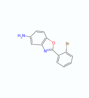 Nc1ccc2oc(-c3ccccc3Br)nc2c1